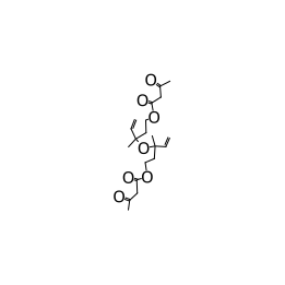 C=CC(C)(CCOC(=O)CC(C)=O)OC(C)(C=C)CCOC(=O)CC(C)=O